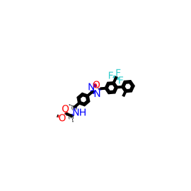 COC(=O)[C@@H](C)N[C@H](C)c1ccc(-c2noc(-c3ccc(-c4ccccc4C)c(C(F)(F)F)c3)n2)cc1